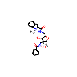 Cn1c(C(=O)NC[C@H]2OC[C@@](C)(CN(O)C(=O)c3ccccc3)[C@@H]2O)cc2ccccc21